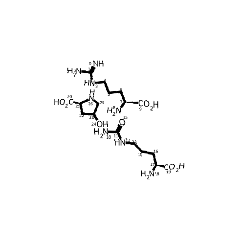 N=C(N)NCCC[C@H](N)C(=O)O.NC(=O)NCCC[C@H](N)C(=O)O.O=C(O)[C@@H]1CC(O)CN1